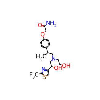 CC(CN(CCO)CC(O)c1csc(C(F)(F)F)n1)c1ccc(OCC(N)=O)cc1